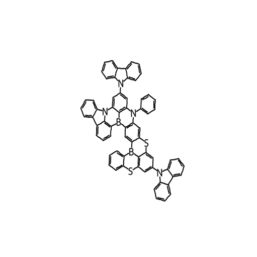 c1ccc(N2c3cc4c(cc3B3c5c2cc(-n2c6ccccc6c6ccccc62)cc5-n2c5ccccc5c5cccc3c52)B2c3ccccc3Sc3cc(-n5c6ccccc6c6ccccc65)cc(c32)S4)cc1